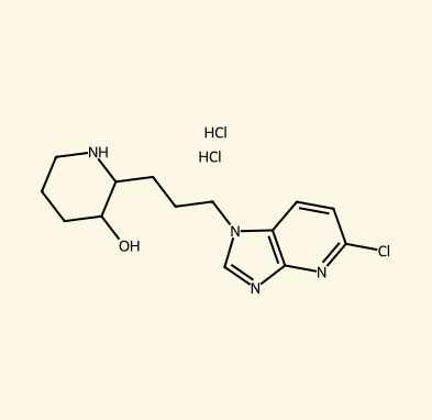 Cl.Cl.OC1CCCNC1CCCn1cnc2nc(Cl)ccc21